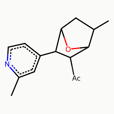 CC(=O)C1C2OC(CC2C)C1c1ccnc(C)c1